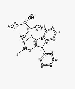 CN1CCC2=C(C1)C(c1ccccc1)c1ccccc12.O=C(O)C(O)C(O)C(=O)O